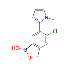 Cn1cccc1-c1cc2c(cc1Cl)COB2O